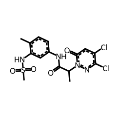 Cc1ccc(NC(=O)C(C)n2nc(Cl)c(Cl)cc2=O)cc1NS(C)(=O)=O